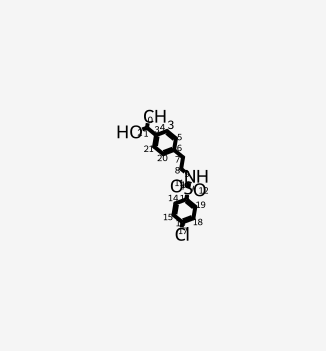 CC(O)c1ccc(CCNS(=O)(=O)c2ccc(Cl)cc2)cc1